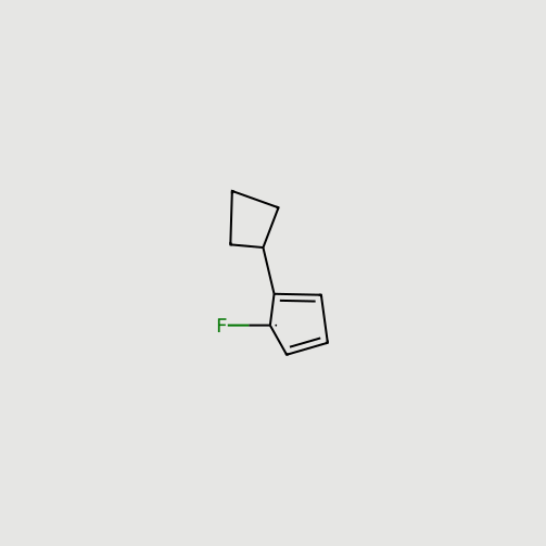 F[C]1C=CC=C1C1CCC1